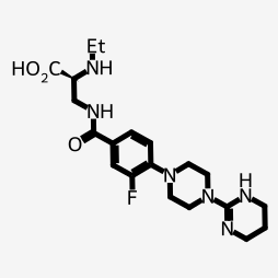 CCN[C@@H](CNC(=O)c1ccc(N2CCN(C3=NCCCN3)CC2)c(F)c1)C(=O)O